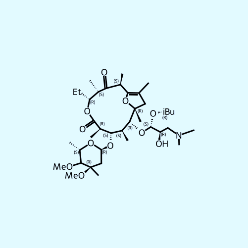 CC[C@@H](C)O[C@@H](O[C@@H]1[C@@H](C)[C@H](O[C@H]2C[C@@](C)(OC)C(OC)[C@H](C)O2)[C@@H](C)C(=O)O[C@H](CC)[C@H](C)C(=O)[C@@H](C)C2=C(C)C[C@@]1(C)O2)[C@H](O)CN(C)C